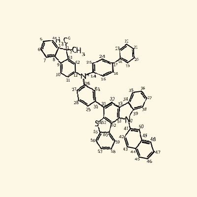 CC1(C)c2ccccc2-c2ccc(N(c3ccc(-c4ccccc4)cc3)c3cccc(-c4cc5c6ccccc6n(-c6ccc7ccccc7c6)c5c5c4sc4ccccc45)c3)cc21